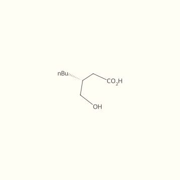 CCCC[C@@H](CO)CC(=O)O